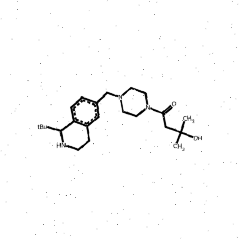 CC(C)(O)CC(=O)N1CCN(Cc2ccc3c(c2)CCNC3C(C)(C)C)CC1